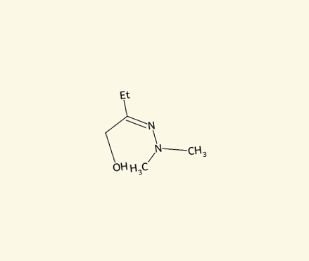 CCC(CO)=NN(C)C